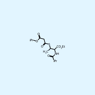 CCOC(=O)C(NC(=O)C(C)C)C(C)SC(=O)CC(=O)OC(C)C